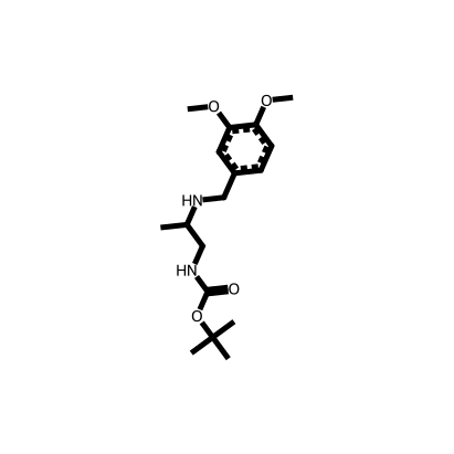 COc1ccc(CNC(C)CNC(=O)OC(C)(C)C)cc1OC